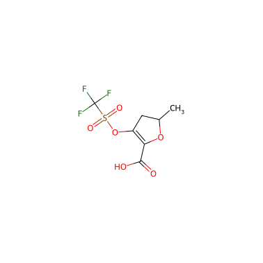 CC1CC(OS(=O)(=O)C(F)(F)F)=C(C(=O)O)O1